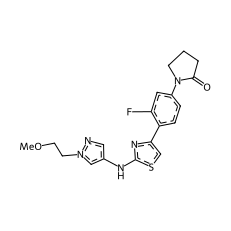 COCCn1cc(Nc2nc(-c3ccc(N4CCCC4=O)cc3F)cs2)cn1